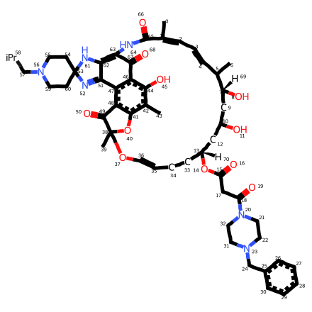 C/C1=C/C=C/C(C)[C@H](O)CC(O)C[C@H](OC(=O)CC(=O)N2CCN(Cc3ccccc3)CC2)CC/C=C/OC2(C)Oc3c(C)c(O)c4c(c3C2=O)C2=NC3(CCN(CC(C)C)CC3)NC2=C(NC1=O)C4=O